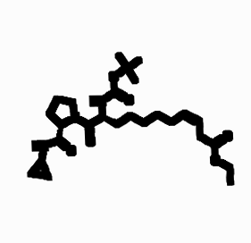 CCOC(=O)C/C=C\CCCCC[C@H](NC(=O)OC(C)(C)C)C(=O)N1CCC[C@H]1C(=O)NC1CC1